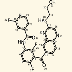 O=C(Nc1ccc(F)c(C(=O)c2ccc3ncc([AsH]CCO)nc3c2)c1F)c1cccc(F)c1